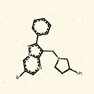 CCCC1CCN(Cc2c(-c3ccccc3)nn3cc(Br)cnc23)C1